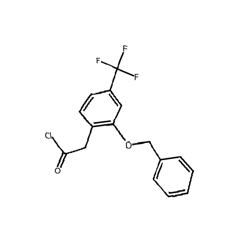 O=C(Cl)Cc1ccc(C(F)(F)F)cc1OCc1ccccc1